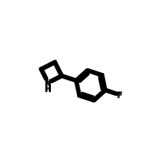 Fc1ccc(C2CCN2)cc1